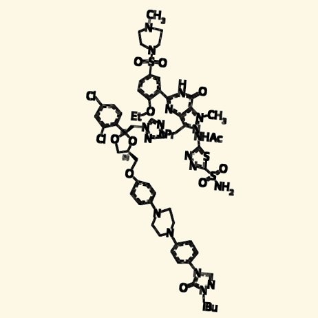 CC(=O)Nc1nnc(S(N)(=O)=O)s1.CCC(C)n1ncn(-c2ccc(N3CCN(c4ccc(OC[C@H]5CO[C@](Cn6cncn6)(c6ccc(Cl)cc6Cl)O5)cc4)CC3)cc2)c1=O.CCCc1nn(C)c2c(=O)[nH]c(-c3cc(S(=O)(=O)N4CCN(C)CC4)ccc3OCC)nc12